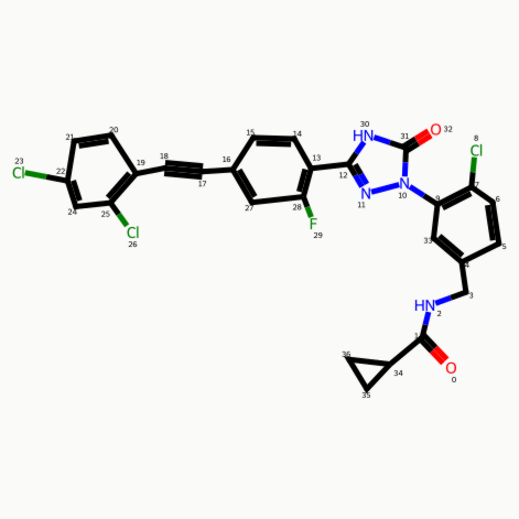 O=C(NCc1ccc(Cl)c(-n2nc(-c3ccc(C#Cc4ccc(Cl)cc4Cl)cc3F)[nH]c2=O)c1)C1CC1